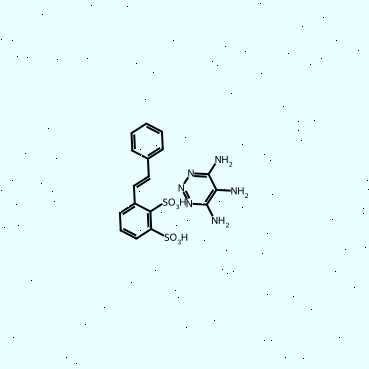 Nc1nnnc(N)c1N.O=S(=O)(O)c1cccc(C=Cc2ccccc2)c1S(=O)(=O)O